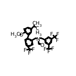 COc1ccc(C(C)C)cc1-c1ccc(C(F)(F)F)cc1CN(C=O)Cc1cc(C(F)(F)F)cc(C(F)(F)F)c1